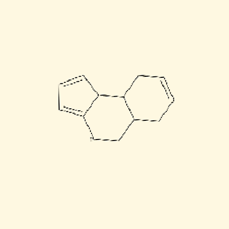 [C]1CC2CC=CCC2C2C=CC=C12